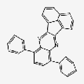 c1ccc(-c2ccc(-c3ccccc3)c3nc4c(nc23)-c2cccc3cccc-4c23)cc1